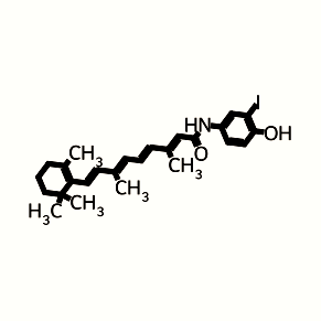 CC1=C(/C=C/C(C)=C/C=C/C(C)=C/C(=O)Nc2ccc(O)c(I)c2)C(C)(C)CCC1